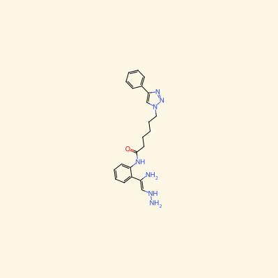 NN/C=C(\N)c1ccccc1NC(=O)CCCCCn1cc(-c2ccccc2)nn1